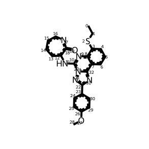 CCSc1cccc2c1nc(Nc1ccccnc1=O)n1nc(-c3ccc(OC)cc3)nc21